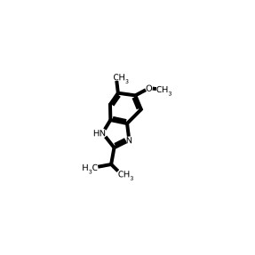 COc1cc2nc(C(C)C)[nH]c2cc1C